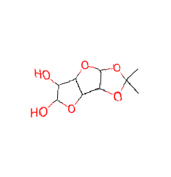 CC1(C)OC2OC3C(O)C(O)OC3C2O1